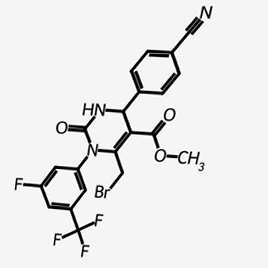 COC(=O)C1=C(CBr)N(c2cc(F)cc(C(F)(F)F)c2)C(=O)NC1c1ccc(C#N)cc1